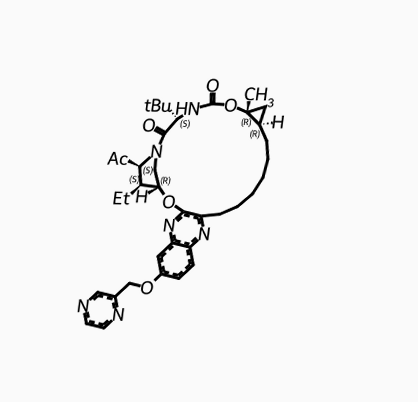 CC[C@@H]1[C@@H]2CN(C(=O)[C@H](C(C)(C)C)NC(=O)O[C@]3(C)C[C@H]3CCCCCCc3nc4ccc(OCc5cnccn5)cc4nc3O2)[C@@H]1C(C)=O